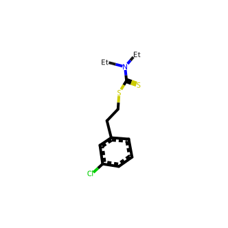 CCN(CC)C(=S)SCCc1cccc(Cl)c1